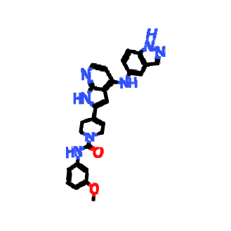 COc1cccc(NC(=O)N2CC=C(c3cc4c(Nc5ccc6[nH]ncc6c5)ccnc4[nH]3)CC2)c1